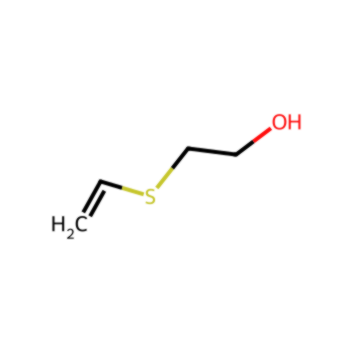 C=CSCCO